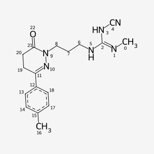 C/N=C(\NC#N)NCCCN1N=C(c2ccc(C)cc2)CCC1=O